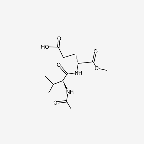 COC(=O)[C@@H](CCC(=O)O)NC(=O)[C@@H](NC(C)=O)C(C)C